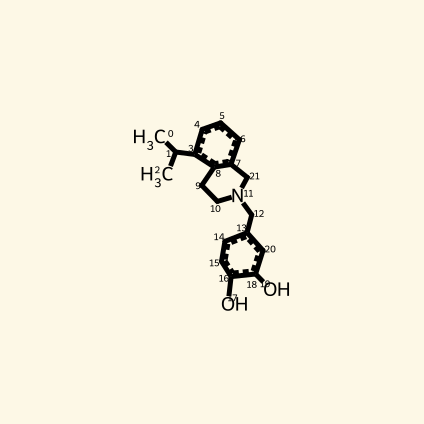 CC(C)c1cccc2c1CCN(Cc1ccc(O)c(O)c1)C2